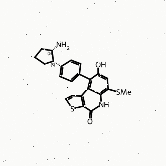 CSc1cc(O)c(-c2ccc([C@@H]3CCC[C@@H]3N)cc2)c2c1[nH]c(=O)c1sccc12